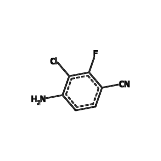 N#Cc1ccc(N)c(Cl)c1F